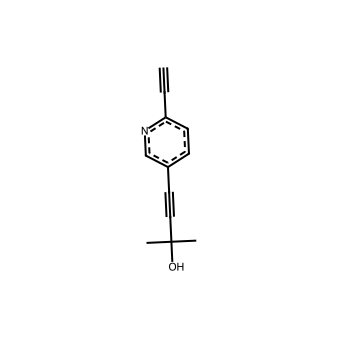 C#Cc1ccc(C#CC(C)(C)O)cn1